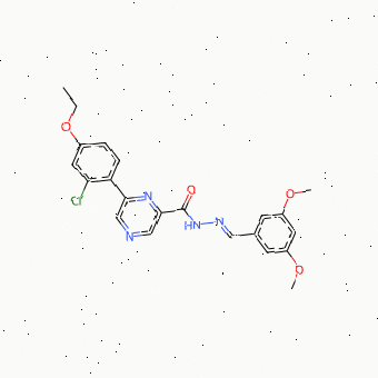 CCOc1ccc(-c2cncc(C(=O)NN=Cc3cc(OC)cc(OC)c3)n2)c(Cl)c1